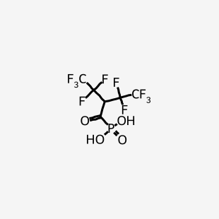 O=C(C(C(F)(F)C(F)(F)F)C(F)(F)C(F)(F)F)P(=O)(O)O